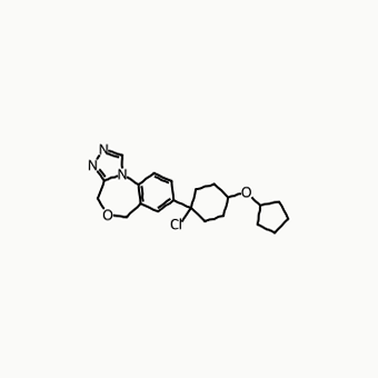 ClC1(c2ccc3c(c2)COCc2nncn2-3)CCC(OC2CCCC2)CC1